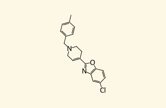 Cc1ccc(CN2CC=C(c3nc4cc(Cl)ccc4o3)CC2)cc1